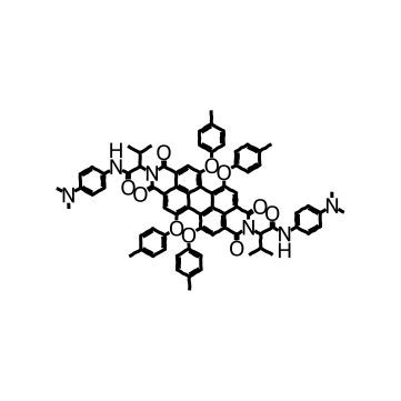 Cc1ccc(Oc2cc3c4c(cc(Oc5ccc(C)cc5)c5c6c(Oc7ccc(C)cc7)cc7c8c(cc(Oc9ccc(C)cc9)c(c2c45)c86)C(=O)N(C(C(=O)Nc2ccc(N(C)C)cc2)C(C)C)C7=O)C(=O)N(C(C(=O)Nc2ccc(N(C)C)cc2)C(C)C)C3=O)cc1